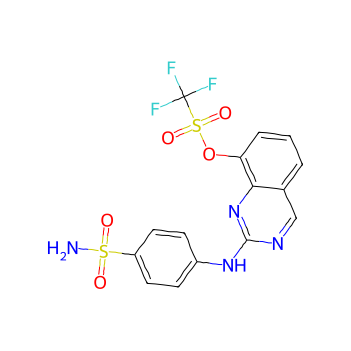 NS(=O)(=O)c1ccc(Nc2ncc3cccc(OS(=O)(=O)C(F)(F)F)c3n2)cc1